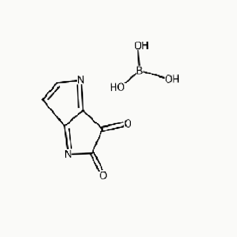 O=c1nc2ccnc-2c1=O.OB(O)O